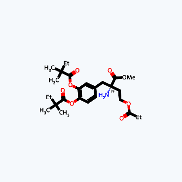 CCC(=O)OCC[C@@](N)(Cc1ccc(OC(=O)C(C)(C)CC)c(OC(=O)C(C)(C)CC)c1)C(=O)OC